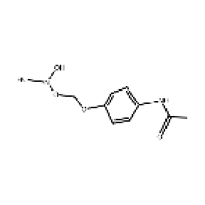 CC(=O)Nc1ccc(OCON(O)O)cc1